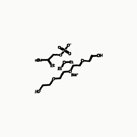 CCCCC(CC)COS(=O)(=O)[O-].CCOCC.OCCOCCOCCOCCO.[Na+]